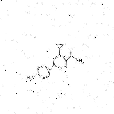 NC(=O)c1ccc(-c2ccc(N)cc2)cc1C1CC1